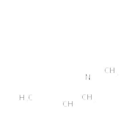 [CH]=C(C)c1ccccc1N(C)C